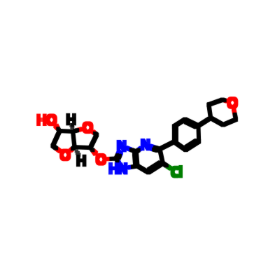 O[C@@H]1CO[C@H]2[C@@H]1OC[C@H]2Oc1nc2nc(-c3ccc(C4CCOCC4)cc3)c(Cl)cc2[nH]1